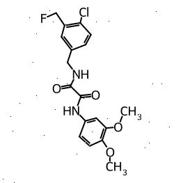 COc1ccc(NC(=O)C(=O)NCc2ccc(Cl)c(CF)c2)cc1OC